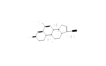 C#C[C@]1(O)CC[C@H]2[C@@H]3C=C(Cl)C4=CC(=O)CC[C@]4(C)[C@H]3[C@@H](F)C[C@@]21C